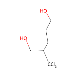 OCCCC(CO)C(Cl)(Cl)Cl